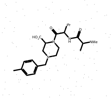 CNC(C)C(=O)NC(C(=O)N1CCN(Cc2ccc(C)cc2)CC1C(=O)O)C(C)C